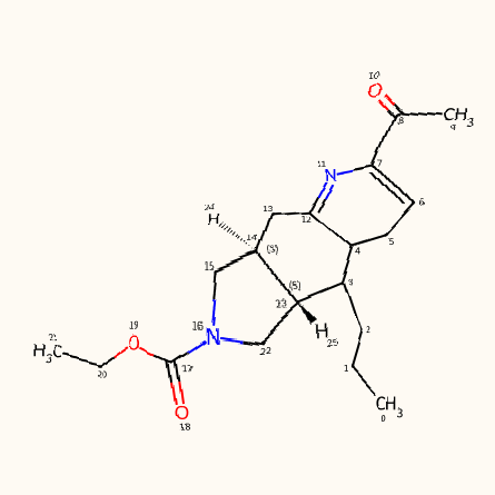 CCCC1C2CC=C(C(C)=O)N=C2C[C@@H]2CN(C(=O)OCC)C[C@@H]12